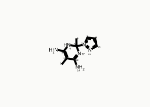 CC1=C(N)NC(C)(n2cccn2)N=C1N